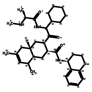 CN[C@@H](C)C(=O)NC(C(=O)N1C[C@H]2CC(C)=CC(C)N2C[C@H]1C(=O)N[C@@H]1CCOc2ccccc21)C1CCCCC1